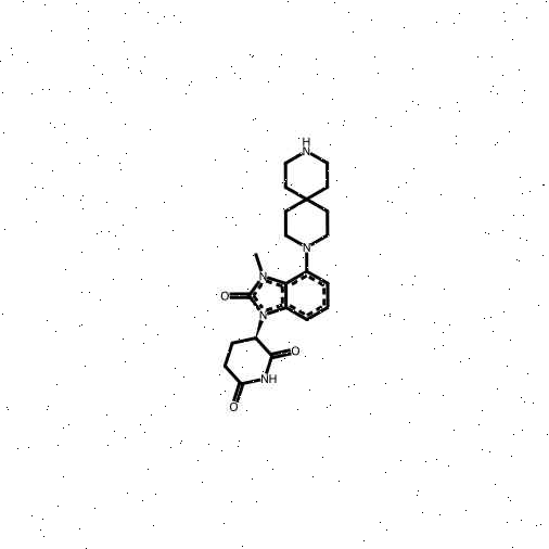 Cn1c(=O)n([C@@H]2CCC(=O)NC2=O)c2cccc(N3CCC4(CCNCC4)CC3)c21